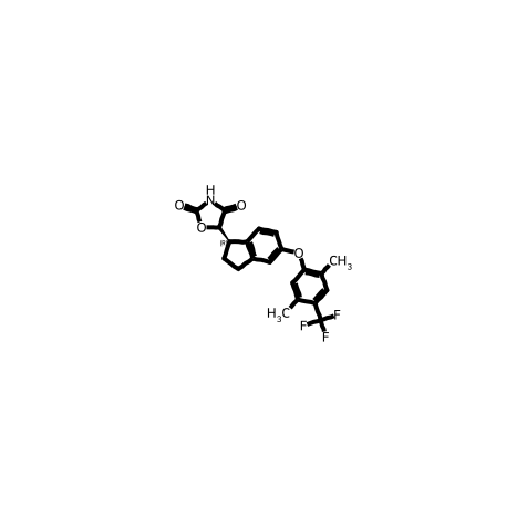 Cc1cc(C(F)(F)F)c(C)cc1Oc1ccc2c(c1)CC[C@H]2C1OC(=O)NC1=O